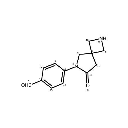 O=Cc1ccc(N2CC3(CNC3)CC2=O)cc1